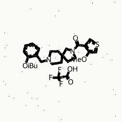 COc1cscc1C(=O)N1CCC2(CCN(Cc3ccccc3OCC(C)C)CC2)C1.O=C(O)C(F)(F)F